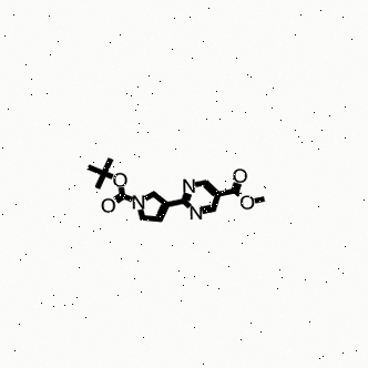 COC(=O)c1cnc(C2=CCN(C(=O)OC(C)(C)C)C2)nc1